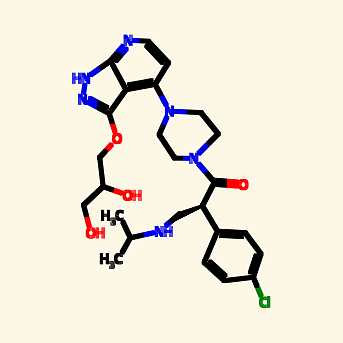 CC(C)NC[C@@H](C(=O)N1CCN(c2ccnc3[nH]nc(OCC(O)CO)c23)CC1)c1ccc(Cl)cc1